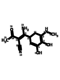 CNC1=C(O)C(O)=CC(/C(N)=C(\C#N)C(C)=O)C1